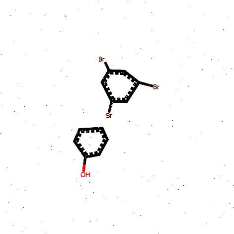 Brc1cc(Br)cc(Br)c1.Oc1ccccc1